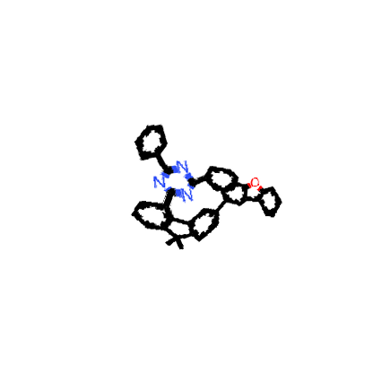 CC1(C)c2ccc(-c3ccc4oc5ccccc5c4c3)cc2-c2c(-c3nc(-c4ccccc4)nc(-c4ccccc4)n3)cccc21